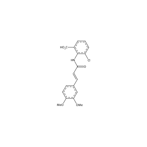 COc1ccc(/C=C/C(=O)Nc2c(Cl)cccc2C(=O)O)cc1OC